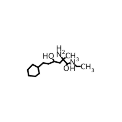 CCNC(=O)C(C)(N)CC(O)CCC1CCCCC1